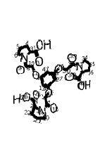 O=C(O)C1CCCN1C(=O)COc1cc(OCC(=O)N2CCCC2C(=O)O)cc(OCC(=O)N2CCCC2C(=O)O)c1